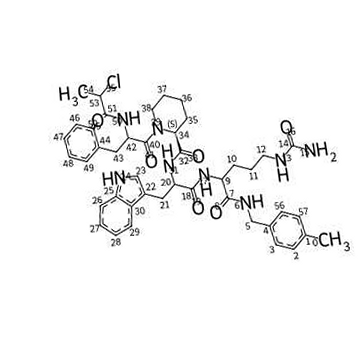 Cc1ccc(CNC(=O)C(CCCNC(N)=O)NC(=O)C(Cc2c[nH]c3ccccc23)NC(=O)[C@@H]2CCCCN2C(=O)C(Cc2ccccc2)NC(=O)C(C)Cl)cc1